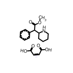 COC(=O)C(c1ccccc1)C1CCCCN1.O=C(O)/C=C\C(=O)O